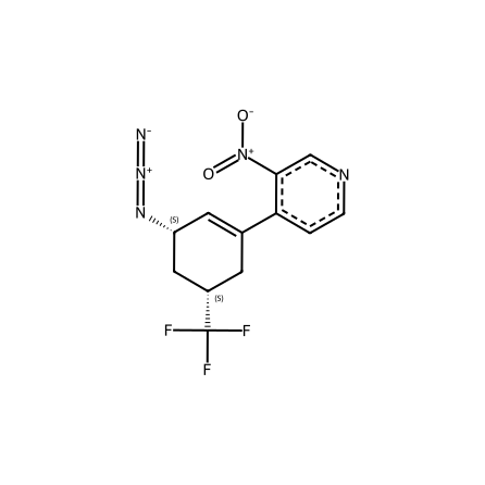 [N-]=[N+]=N[C@@H]1C=C(c2ccncc2[N+](=O)[O-])C[C@H](C(F)(F)F)C1